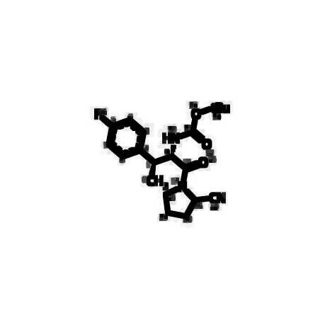 C[C@@H](c1ccc(F)cc1)[C@H](NC(=O)OC(C)(C)C)C(=O)N1CCCC1C#N